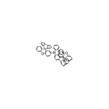 c1ccc(-c2ccc(-c3ccccc3N(c3ccc4c(c3)C3(c5ccccc5O4)c4ccccc4-c4ccccc43)c3ccc4c(c3)C3(c5ccccc5Oc5ccccc53)c3ccccc3-4)cc2)cc1